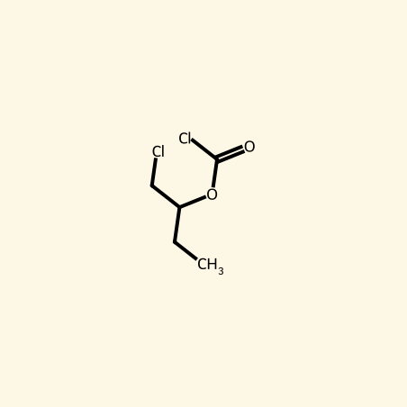 CCC(CCl)OC(=O)Cl